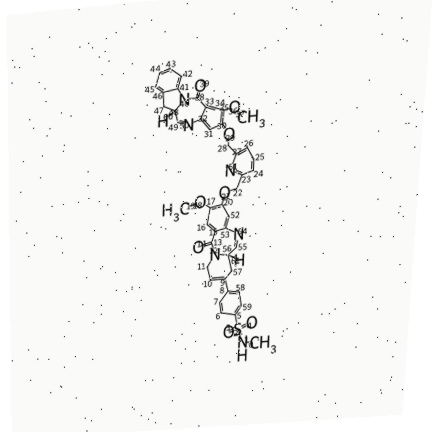 CNS(=O)(=O)c1ccc(C2=CCN3C(=O)c4cc(OC)c(OCc5cccc(COc6cc7c(cc6OC)C(=O)N6c8ccccc8C[C@H]6C=N7)n5)cc4N=C[C@@H]3C2)cc1